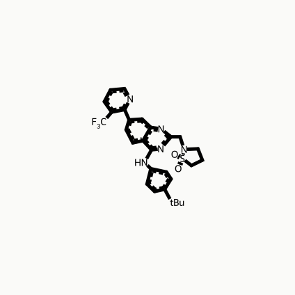 CC(C)(C)c1ccc(Nc2nc(CN3CCCS3(=O)=O)nc3cc(-c4ncccc4C(F)(F)F)ccc23)cc1